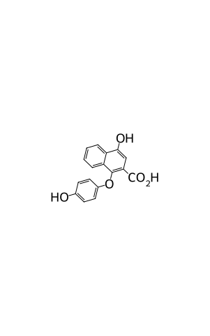 O=C(O)c1cc(O)c2ccccc2c1Oc1ccc(O)cc1